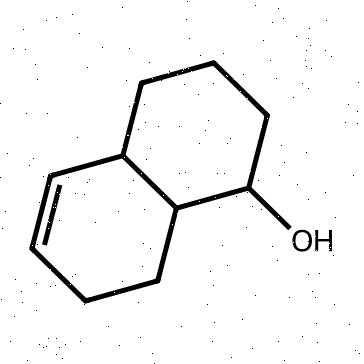 OC1CCCC2C=CCCC12